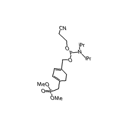 COP(=O)(CC1=CC=C(COP(OCCC#N)N(C(C)C)C(C)C)CC1)OC